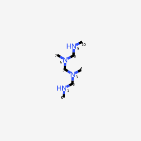 CNCN(C)CN(C)CNC